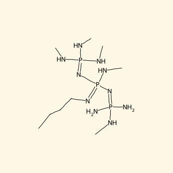 CCCCN=P(N=P(N)(N)NC)(N=P(NC)(NC)NC)NC